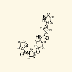 O=C(Nc1ccc(O[C@@H]2CCN(C(=O)C3CCCO3)C2)cc1)C1CN(c2cccnn2)C1